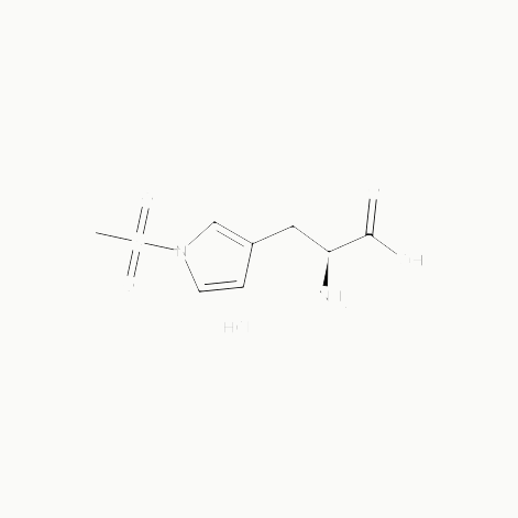 CS(=O)(=O)n1ccc(C[C@H](N)C(=O)O)c1.Cl